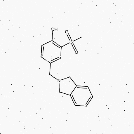 CS(=O)(=O)c1cc(CN2Cc3ccccc3C2)ccc1O